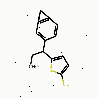 O=CCC(c1ccc2c(c1)C2)c1ccc(S)s1